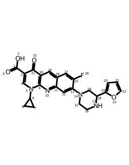 O=C(O)c1cn(C2CC2)c2nc3cc(N4CCNC(c5ccco5)C4)c(F)cc3cc2c1=O